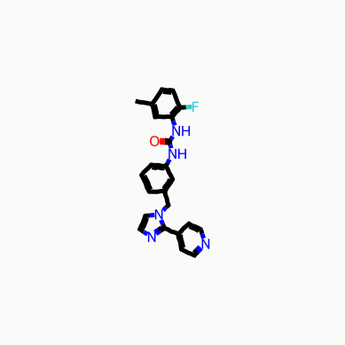 Cc1ccc(F)c(NC(=O)Nc2cccc(Cn3ccnc3-c3ccncc3)c2)c1